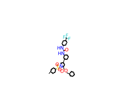 Cc1ccc(S(=O)(=O)n2cc(-c3cccc(NC(=O)Nc4ccc(C(F)(F)F)cc4)c3)cc2C(=O)OCc2ccccc2)cc1